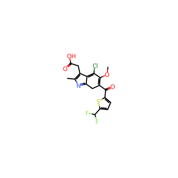 COC1=C(C(=O)c2ccc(C(F)F)s2)CC2=NC(C)=C(CC(=O)O)C2=C1Cl